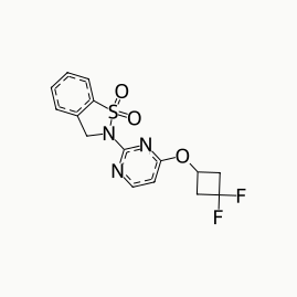 O=S1(=O)c2ccccc2CN1c1nccc(OC2CC(F)(F)C2)n1